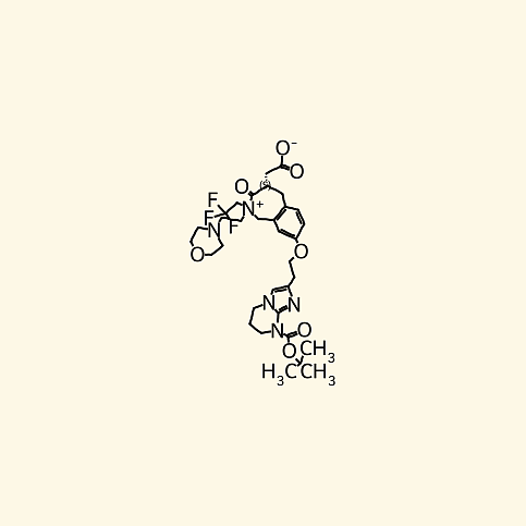 CC(C)(C)OC(=O)N1CCCn2cc(CCOc3ccc4c(c3)C[N+](CCN3CCOCC3)(CC(F)(F)F)C(=O)[C@H](CC(=O)[O-])C4)nc21